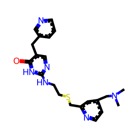 CN(C)Cc1ccnc(CSCCNc2ncc(Cc3cccnc3)c(=O)[nH]2)c1